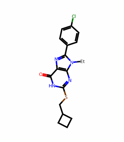 CCn1c(-c2ccc(Cl)cc2)nc2c(=O)[nH]c(SCC3CCC3)nc21